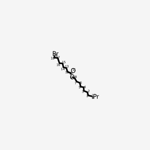 CC(C)CCCCCCCCOC(=O)CCCCCCCBr